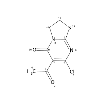 CC(=O)c1c(Cl)nc2n(c1=O)CCS2